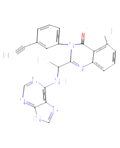 C#Cc1cccc(-n2c(C(C)Nc3ncnc4[nH]cnc34)nc3cccc(C)c3c2=O)c1